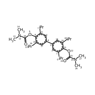 CC(C)c1cc(-c2cc(C(C)C)c(OC(=O)N(C)C)c(C(C)C)c2)cc(C(C)C)c1OC(=O)N(C)C